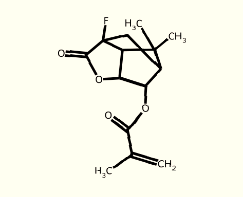 C=C(C)C(=O)OC1C2OC(=O)C3(F)CC1C(C)(C)C23